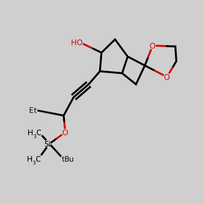 CCC(C#CC1C(O)CC2C1CC21OCCO1)O[Si](C)(C)C(C)(C)C